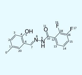 Cc1ccc(O)c(/C=N/NC(=O)c2cccc(F)c2F)c1